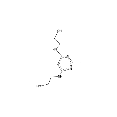 Cc1nc(NCCO)nc(NCCO)n1